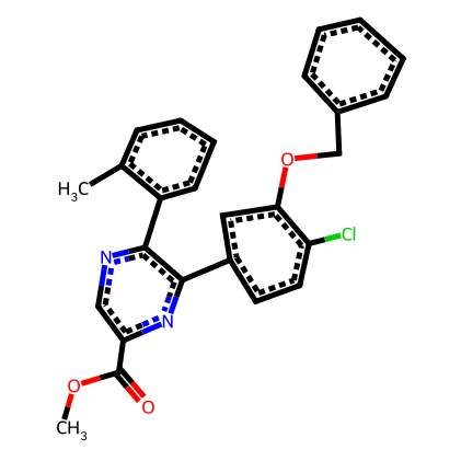 COC(=O)c1cnc(-c2ccccc2C)c(-c2ccc(Cl)c(OCc3ccccc3)c2)n1